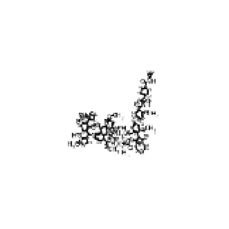 CCc1cc(C)cc(CC)c1-c1c(OC(=O)C(C)(C)C)n2n(c1=O)CCOCC2.COCc1cccc(C(O)c2nc(OC)cc(OC)n2)c1NS(=O)(=O)C(F)F.COc1ccccc1C(=O)NS(=O)(=O)c1ccc(C(=O)NC2CC2)cc1.Cc1c(C(=O)c2cnn(C)c2O)ccc(S(C)(=O)=O)c1C1=NOCC1